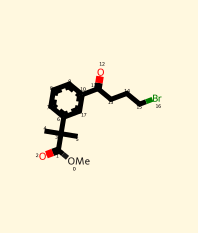 COC(=O)C(C)(C)c1cccc(C(=O)CCCBr)c1